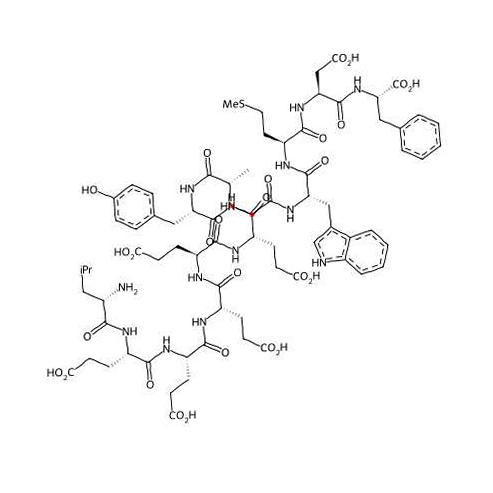 CSCC[C@H](NC(=O)[C@H](Cc1c[nH]c2ccccc12)NC(=O)CNC(=O)[C@H](Cc1ccc(O)cc1)NC(=O)[C@H](C)NC(=O)[C@H](CCC(=O)O)NC(=O)[C@H](CCC(=O)O)NC(=O)[C@H](CCC(=O)O)NC(=O)[C@H](CCC(=O)O)NC(=O)[C@H](CCC(=O)O)NC(=O)[C@@H](N)CC(C)C)C(=O)N[C@@H](CC(=O)O)C(=O)N[C@@H](Cc1ccccc1)C(=O)O